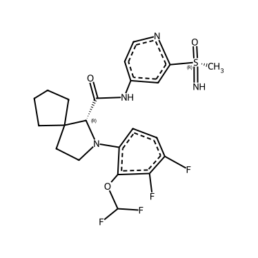 C[S@@](=N)(=O)c1cc(NC(=O)[C@@H]2N(c3ccc(F)c(F)c3OC(F)F)CCC23CCCC3)ccn1